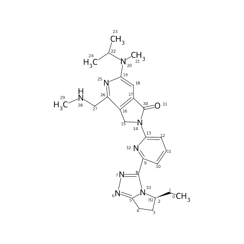 CC[C@H]1CCc2nnc(-c3cccc(N4Cc5c(cc(N(C)C(C)C)nc5CNC)C4=O)n3)n21